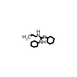 C=CCN/C(=N/C1CCCCC1)NC1CCCCC1